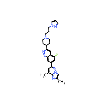 Cc1cn2nc(-c3cc(F)c4cc(C5CCN(CCCn6cccn6)CC5)nnc4c3)cc(C)c2n1